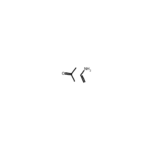 C=CN.CC(C)=O